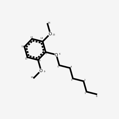 CCCCCCOc1c(OC)[c]ccc1OC